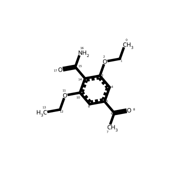 CCOc1cc(C(C)=O)cc(OCC)c1C(N)=O